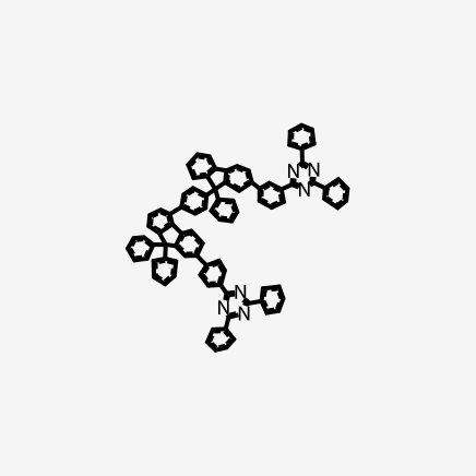 c1ccc(-c2nc(-c3ccccc3)nc(-c3ccc(-c4ccc5c(c4)C(c4ccccc4)(c4ccccc4)c4cccc(-c6ccc(C7(c8ccccc8)c8ccccc8-c8ccc(-c9cccc(-c%10nc(-c%11ccccc%11)nc(-c%11ccccc%11)n%10)c9)cc87)cc6)c4-5)cc3)n2)cc1